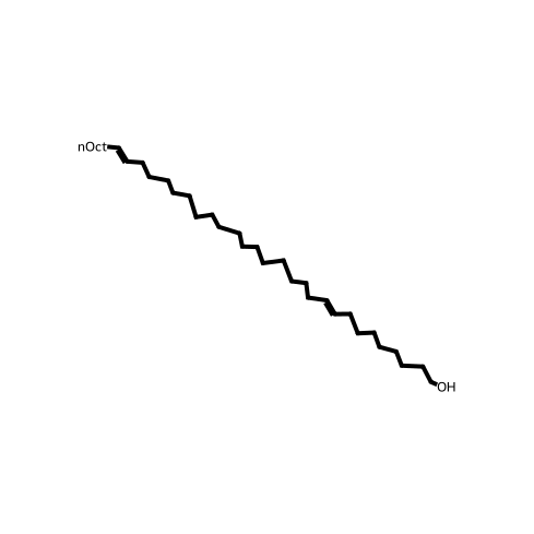 CCCCCCCCC=CCCCCCCCCCCCCCCCCC=CCCCCCCCCO